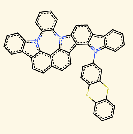 c1ccc2c(c1)Sc1ccc(-n3c4ccccc4c4ccc5c(c6ccc7ccc8c9ccccc9n9c%10ccccc%10n5c6c7c89)c43)cc1S2